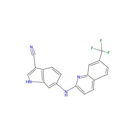 N#Cc1c[nH]c2cc(Nc3ccc4ccc(C(F)(F)F)cc4n3)ccc12